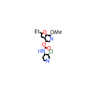 CCc1cc2c(OC(=O)Nc3ccncc3Cl)cnc(OC)c2o1